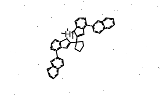 [CH3][Hf]1([CH3])[CH]2C(=Cc3c(-c4ccc5ccccc5c4)cccc32)C2(CCCC2)C2=Cc3c(-c4ccc5ccccc5c4)cccc3[CH]21